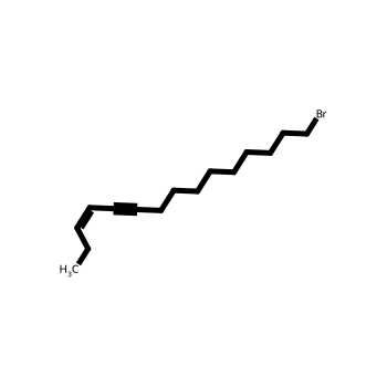 CC/C=C\C#CCCCCCCCCCBr